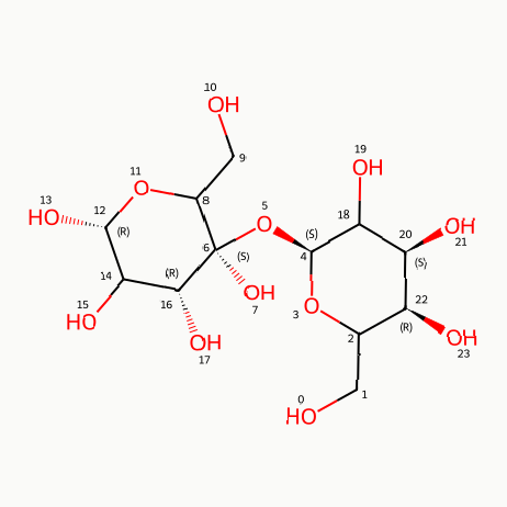 OCC1O[C@@H](O[C@]2(O)C(CO)O[C@@H](O)C(O)[C@H]2O)C(O)[C@@H](O)[C@H]1O